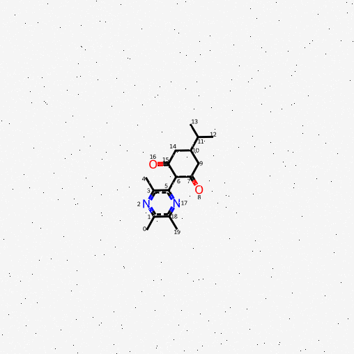 Cc1nc(C)c(C2C(=O)CC(C(C)C)CC2=O)nc1C